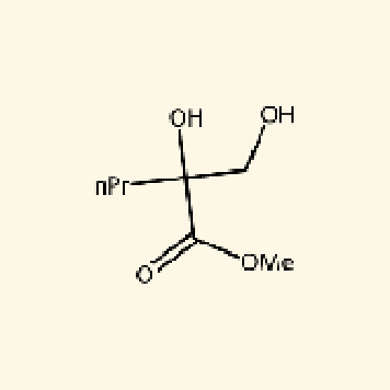 CCCC(O)(CO)C(=O)OC